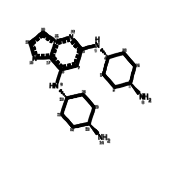 N[C@H]1CC[C@H](Nc2cc(N[C@H]3CC[C@H](N)CC3)c3nccn3n2)CC1